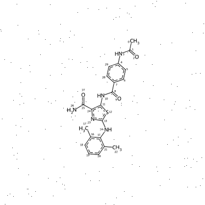 CC(=O)Nc1ccc(C(=O)Nc2sc(Nc3c(C)cccc3C)nc2C(N)=O)cc1